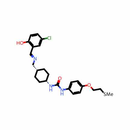 CSCCOc1ccc(NC(=O)N[C@H]2CC[C@@H](CN=Cc3cc(Cl)ccc3O)CC2)cc1